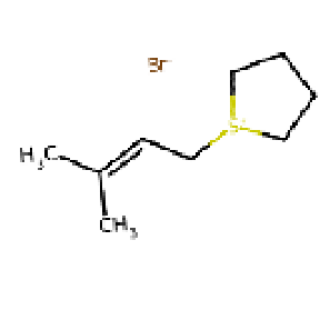 CC(C)=CC[S+]1CCCC1.[Br-]